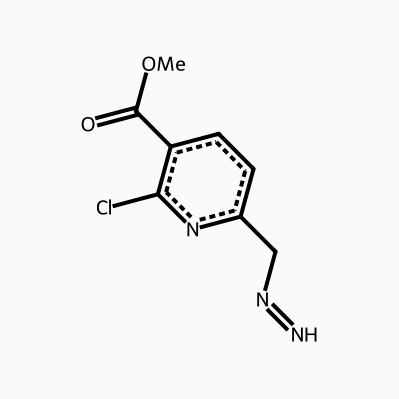 COC(=O)c1ccc(CN=N)nc1Cl